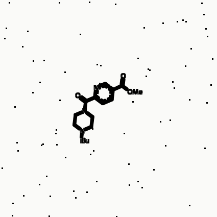 CCC(C)N1CCN(C(=O)c2ccc(C(=O)OC)cn2)CC1